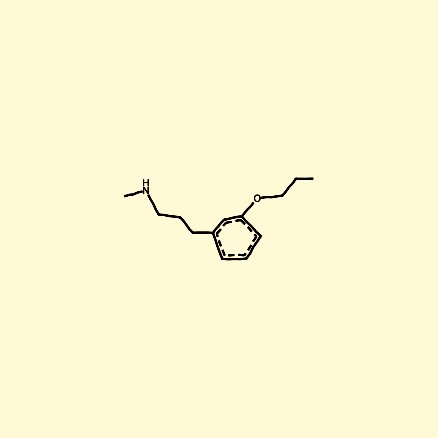 CCCOc1cccc(CCCNC)c1